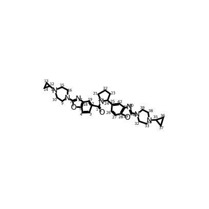 O=C(c1ccc2oc(N3CCN(C4CC4)CC3)nc2c1)N1CCCC1c1ccc2oc(N3CCN(C4CC4)CC3)nc2c1